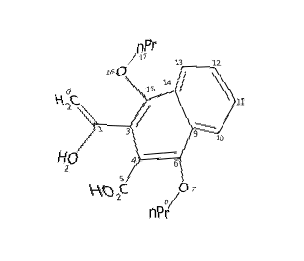 C=C(O)c1c(C(=O)O)c(OCCC)c2ccccc2c1OCCC